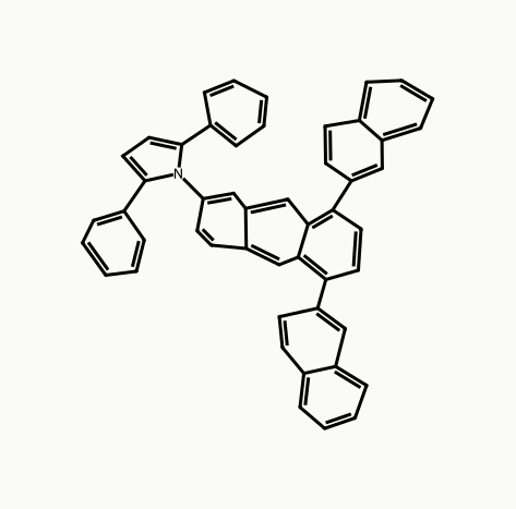 c1ccc(-c2ccc(-c3ccccc3)n2-c2ccc3cc4c(-c5ccc6ccccc6c5)ccc(-c5ccc6ccccc6c5)c4cc3c2)cc1